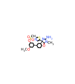 COc1cc(OS(C)(=O)=O)cc(-c2cccc(C3(c4cncs4)N=C(N)N(C)C3=O)c2)c1